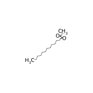 C[CH]S(=O)(=O)CCCCCCCCCCCC